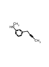 CC#CCc1cccc(NC)c1